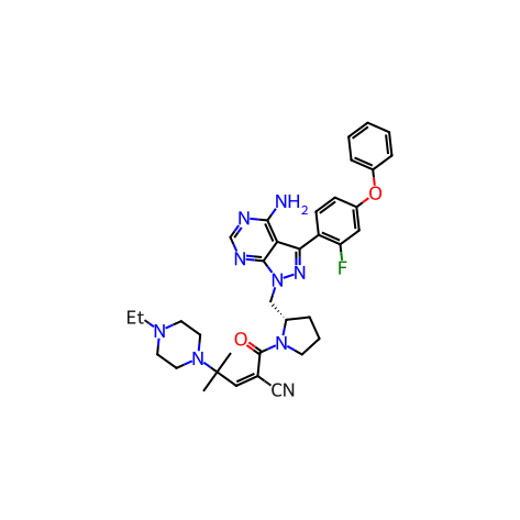 CCN1CCN(C(C)(C)/C=C(/C#N)C(=O)N2CCC[C@H]2Cn2nc(-c3ccc(Oc4ccccc4)cc3F)c3c(N)ncnc32)CC1